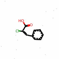 O=C(O)/C(Cl)=C\c1ccccc1